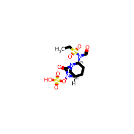 CCS(=O)(=O)N(C=O)[C@H]1CC[C@@H]2CN1C(=O)N2OS(=O)(=O)O